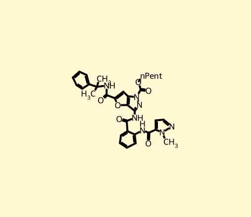 CCCCCOC(=O)n1nc(NC(=O)c2ccccc2NC(=O)c2ccnn2C)c2oc(C(=O)NC(C)(C)c3ccccc3)cc21